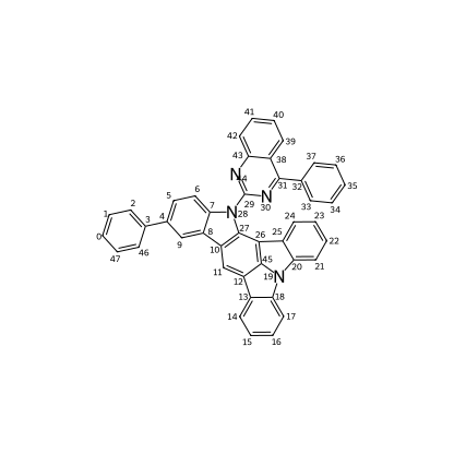 c1ccc(-c2ccc3c(c2)c2cc4c5ccccc5n5c6ccccc6c(c2n3-c2nc(-c3ccccc3)c3ccccc3n2)c45)cc1